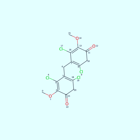 COC1=C(Cl)C(CC2=C(Cl)CC(=O)C(OC)=C2Cl)=C(Cl)CC1=O